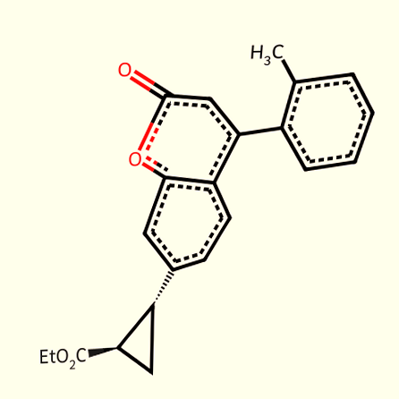 CCOC(=O)[C@@H]1C[C@H]1c1ccc2c(-c3ccccc3C)cc(=O)oc2c1